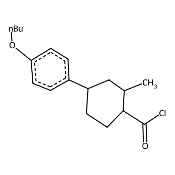 CCCCOc1ccc(C2CCC(C(=O)Cl)C(C)C2)cc1